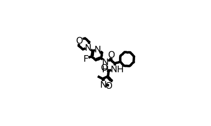 Cc1nocc1C(=O)NC(C(=O)Nc1cnc(N2CCOCC2)c(F)c1)C1CCCCCCC1